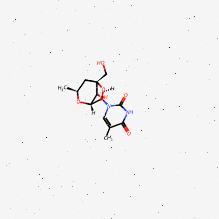 Cc1cn([C@@H]2O[C@@]3(CO)C[C@H](C)O[C@@H]2[C@@H]3O)c(=O)[nH]c1=O